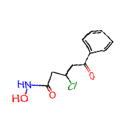 O=C(CC(Cl)CC(=O)c1ccccc1)NO